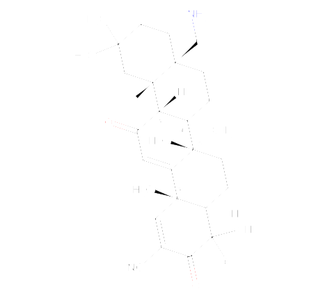 CC1(C)CC[C@]2(CN)CC[C@]3(C)[C@H](C(=O)C=C4[C@@]5(C)C=C(C#N)C(=O)C(C)(C)[C@@H]5CC[C@]43C)[C@@H]2C1